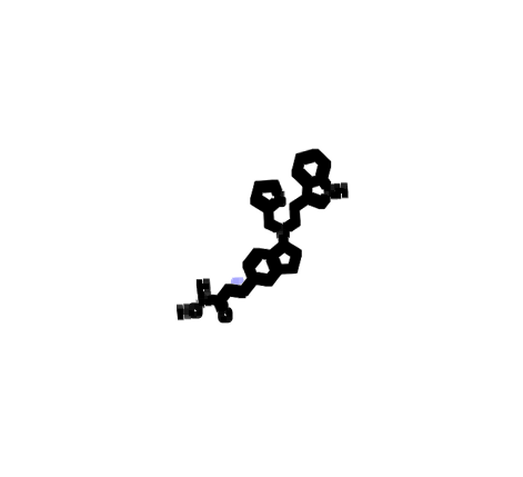 O=C(/C=C/c1ccc2c(c1)CCC2N(CCc1c[nH]c2ccccc12)Cc1cccs1)NO